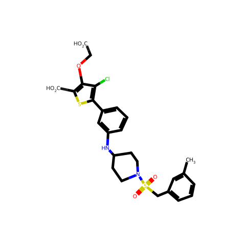 Cc1cccc(CS(=O)(=O)N2CCC(Nc3cccc(-c4sc(C(=O)O)c(OCC(=O)O)c4Cl)c3)CC2)c1